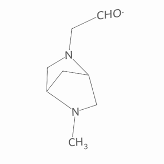 CN1CC2CC1CN2C[C]=O